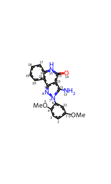 COc1ccc(OC)c(-n2nc3c(c2N)c(=O)[nH]c2ccccc23)c1